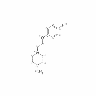 CC1CCN(CCOc2ccc(F)cc2)CC1